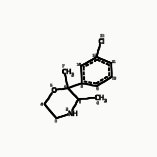 CC1NCCOC1(C)c1cccc(Cl)c1